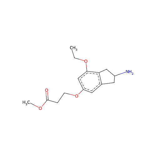 CCOc1cc(OCCC(=O)OC)cc2c1CC(N)C2